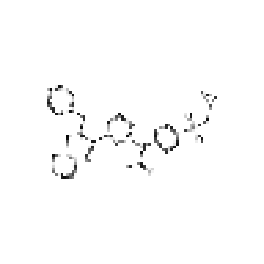 CC(=O)N(c1ccc(S(=O)(=O)CC2CC2)cc1)c1cccc(C(=O)N(Cc2ccccc2)Cc2ccccc2)c1